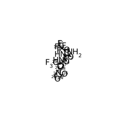 NC(=O)[C@@H](NC(=O)C(F)(F)C(F)F)C(=O)Nc1ccc(N2CCOCC2=O)cc1C(F)(F)F